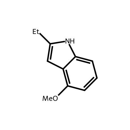 CCc1cc2c(OC)cccc2[nH]1